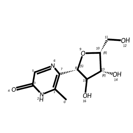 Cc1[nH]c(=O)cnc1[C@@H]1O[C@H](CO)[C@H](O)C1O